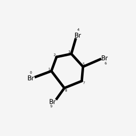 BrC1CC(Br)C(Br)CC1Br